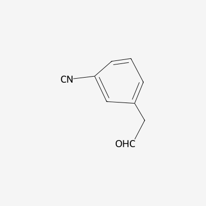 [C-]#[N+]c1cccc(CC=O)c1